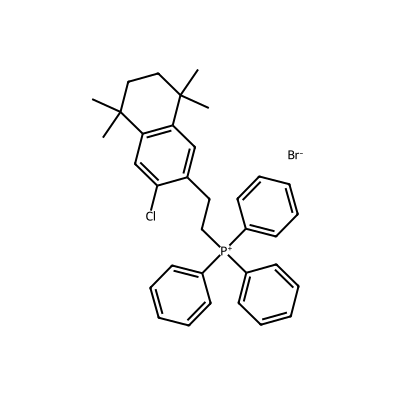 CC1(C)CCC(C)(C)c2cc(CC[P+](c3ccccc3)(c3ccccc3)c3ccccc3)c(Cl)cc21.[Br-]